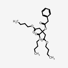 CCCCOC(=O)CC(CC(=O)OCCCC)(OC(=O)Cc1ccccc1)C(=O)OCCCC